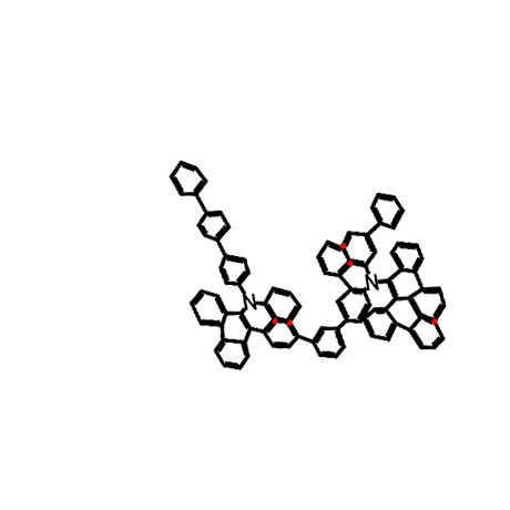 c1ccc(-c2ccc(-c3ccc(N(c4ccccc4)c4c(-c5ccc(-c6cccc(-c7ccc(N(c8cccc(-c9ccccc9)c8)c8c(-c9ccccc9-c9ccccc9)c9ccccc9c9ccccc89)c(-c8ccccc8)c7)c6)cc5)c5ccccc5c5ccccc45)cc3)cc2)cc1